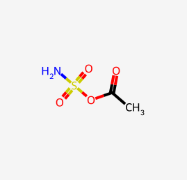 CC(=O)OS(N)(=O)=O